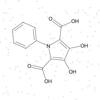 O=C(O)c1c(O)c(O)c(C(=O)O)n1-c1ccccc1